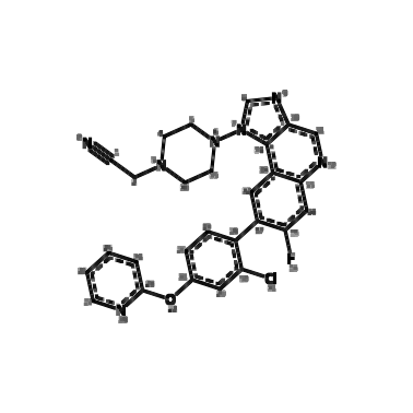 N#CCN1CCN(n2cnc3cnc4cc(F)c(-c5ccc(Oc6ccccn6)cc5Cl)cc4c32)CC1